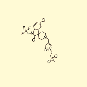 CS(=O)(=O)CCn1cc(CN2CCC3(CC2)C(=O)N(CC(F)(F)F)c2ccc(Cl)cc23)cn1